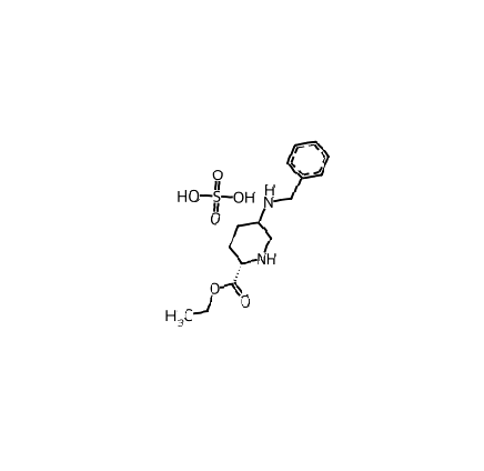 CCOC(=O)[C@@H]1CCC(NCc2ccccc2)CN1.O=S(=O)(O)O